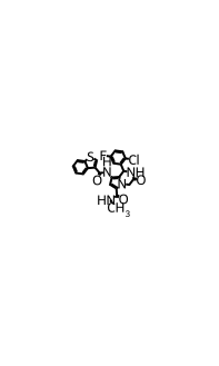 CNC(=O)c1cc(NC(=O)c2csc3ccccc23)c2n1CC(=O)NC2c1cc(F)ccc1Cl